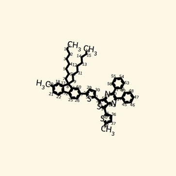 CCCCCCCCC1(CCCCCCCC)c2cc(C)ccc2-c2ccc(-c3ccc(-c4sc(-c5ccc(C)s5)c5nc(-c6ccccc6)c(-c6ccccc6)nc45)s3)cc21